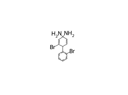 NC1(N)C=CC(c2ccccc2Br)C(Br)=C1